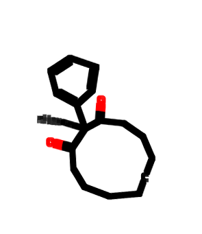 CCCCCCC1(c2ccccc2)C(=O)CCCCCCCCC1=O